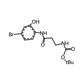 CC(C)(C)OC(=O)NCCC(=O)Nc1ccc(Br)cc1O